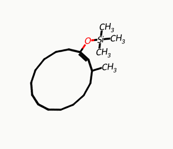 CC1C=C(O[Si](C)(C)C)CCCCCCCCCCCC1